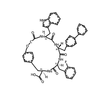 O=C1COc2ccc(cc2)C[C@H](C(=O)O)NC(=O)[C@H](Cc2ccccc2F)NC(=O)[C@@H](Cc2ccc(-c3ccccc3)cc2)NC(=O)[C@H](Cc2c[nH]c3ccccc23)N1